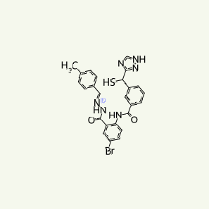 Cc1ccc(/C=N/NC(=O)c2cc(Br)ccc2NC(=O)c2cccc(C(S)c3nc[nH]n3)c2)cc1